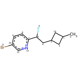 CC1CC(CC(F)c2ccc(Br)cn2)C1